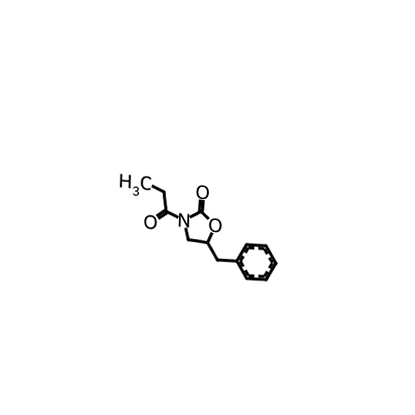 CCC(=O)N1CC(Cc2ccccc2)OC1=O